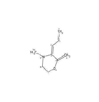 C=C/C=C1\C(=C)OCCN1C